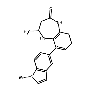 CC(C)n1ccc2cc(C3=CCCC4=C3N[C@H](C)CC(=O)N4)ccc21